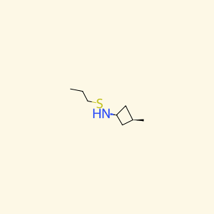 CCCSN[C@H]1C[C@@H](C)C1